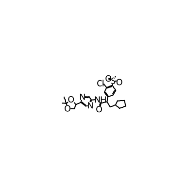 CC1(C)OCC(c2cnc(NC(=O)C(CC3CCCC3)c3ccc(S(C)(=O)=O)c(Cl)c3)cn2)O1